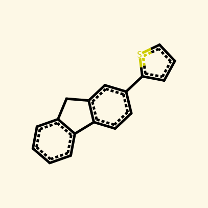 c1csc(-c2ccc3c(c2)Cc2ccccc2-3)c1